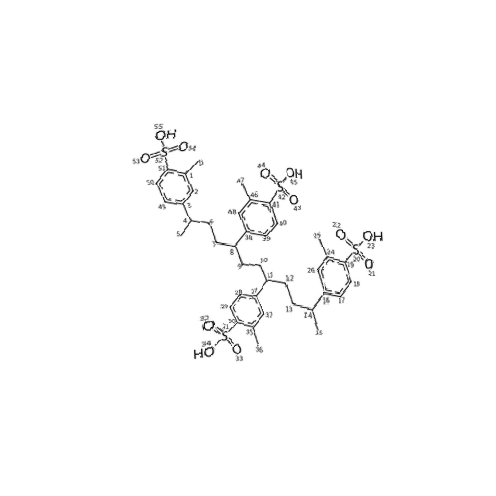 Cc1cc(C(C)CCC(CCC(CCC(C)c2ccc(S(=O)(=O)O)c(C)c2)c2ccc(S(=O)(=O)O)c(C)c2)c2ccc(S(=O)(=O)O)c(C)c2)ccc1S(=O)(=O)O